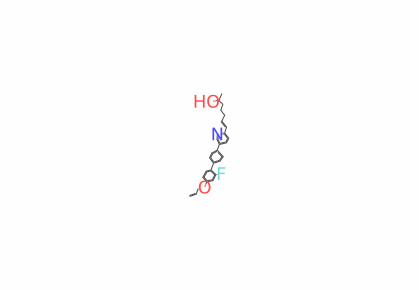 C=CCOc1ccc(-c2ccc(-c3ccc(/C=C/CCCC(C)O)nc3)cc2)c(F)c1